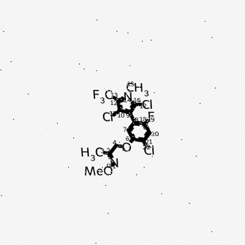 CON=C(C)COc1cc(-c2c(Cl)c(C(F)(F)F)n(C)c2Cl)c(F)cc1Cl